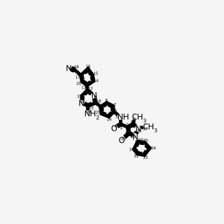 Cc1c(C(=O)Nc2ccc(-c3nc(-c4cccc(C#N)c4)cnc3N)cc2)c(=O)n(-c2ccccc2)n1C